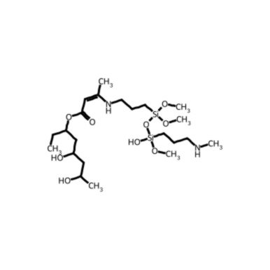 CCC(CC(O)CC(C)O)OC(=O)/C=C(/C)NCCC[Si](OC)(OC)O[Si](O)(CCCNC)OC